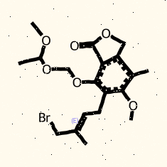 COc1c(C)c2c(c(OCOC(C)OC)c1C/C=C(\C)CBr)C(=O)OC2